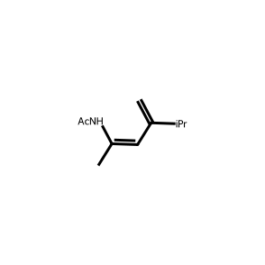 C=C(/C=C(/C)NC(C)=O)C(C)C